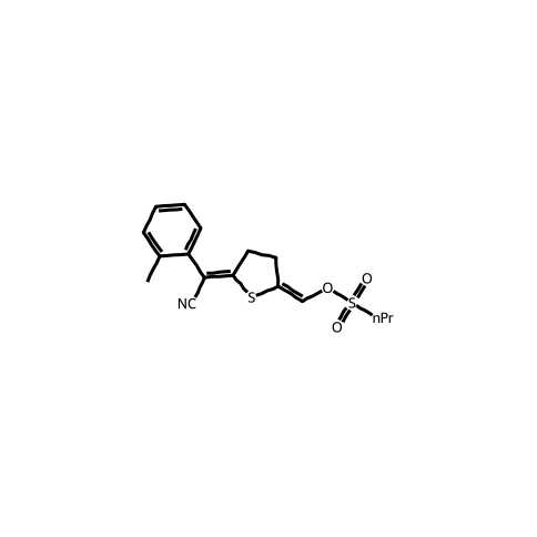 CCCS(=O)(=O)O/C=C1\CC/C(=C(/C#N)c2ccccc2C)S1